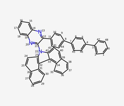 c1ccc(-c2ccc(-c3ccc(-c4nc5ccccc5nc4-n4c5ccc6ccccc6c5c5c6ccccc6ccc54)cc3)cc2)cc1